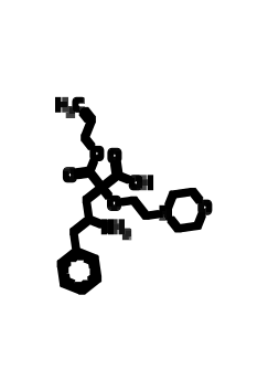 C=CCOC(=O)C(CC(N)Cc1ccccc1)(OCCN1CCOCC1)C(=O)O